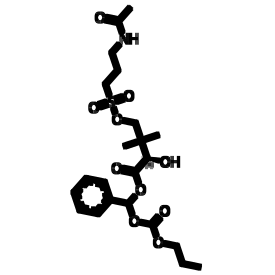 CCCOC(=O)OC(OC(=O)[C@H](O)C(C)(C)COS(=O)(=O)CCCNC(C)=O)c1ccccc1